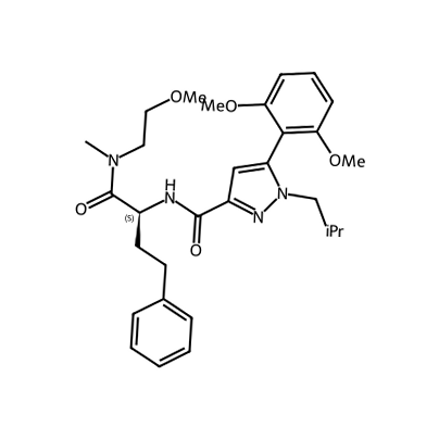 COCCN(C)C(=O)[C@H](CCc1ccccc1)NC(=O)c1cc(-c2c(OC)cccc2OC)n(CC(C)C)n1